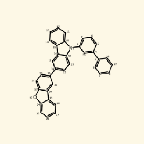 c1ccc(-c2cccc(-n3c4ccccc4c4cc(-c5ccc6oc7ccccc7c6c5)ccc43)c2)cc1